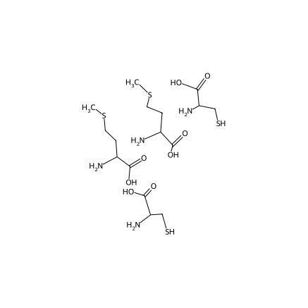 CSCCC(N)C(=O)O.CSCCC(N)C(=O)O.NC(CS)C(=O)O.NC(CS)C(=O)O